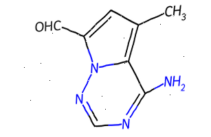 Cc1cc(C=O)n2ncnc(N)c12